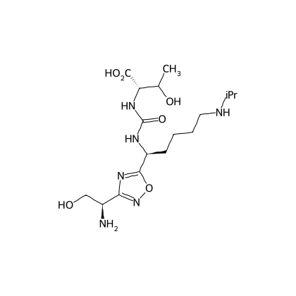 CC(C)NCCCC[C@H](NC(=O)N[C@H](C(=O)O)C(C)O)c1nc([C@@H](N)CO)no1